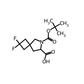 CC(C)(C)OC(=O)N1CC2(CC1C(=O)O)CC(F)(F)C2